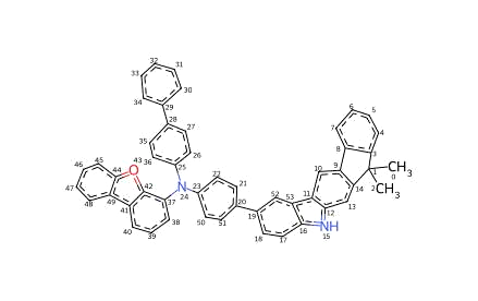 CC1(C)c2ccccc2-c2cc3c(cc21)[nH]c1ccc(-c2ccc(N(c4ccc(-c5ccccc5)cc4)c4cccc5c4oc4ccccc45)cc2)cc13